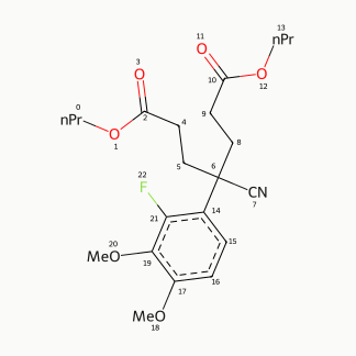 CCCOC(=O)CCC(C#N)(CCC(=O)OCCC)c1ccc(OC)c(OC)c1F